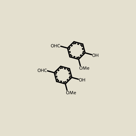 COc1cc(C=O)ccc1O.COc1cc(C=O)ccc1O